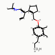 C=C/C(=C\N=C(C)C)C1=C(COc2ccc(CCC(=O)O)c(C)c2C)CCC1